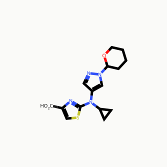 O=C(O)c1csc(N(c2cnn(C3CCCCO3)c2)C2CC2)n1